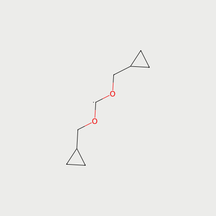 [CH](OCC1CC1)OCC1CC1